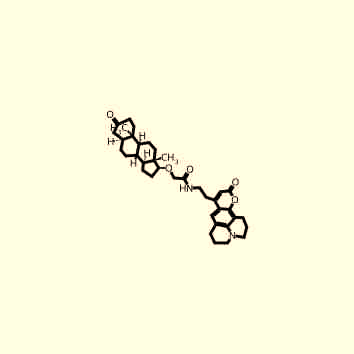 C[C@]12CCC(=O)C[C@@H]1CC[C@@H]1[C@@H]2CC[C@]2(C)[C@@H](OCC(=O)NCCc3cc(=O)oc4c5c6c(cc34)CCCN6CCC5)CC[C@@H]12